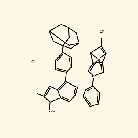 CC1=C2c3cn(-c4ccccc4)cc3C1[Si]2(C)C.CC1=Cc2c(-c3ccc(C45CC6CC(CC(C6)C4)C5)cc3)cccc2[CH]1[Zr+2].[Cl-].[Cl-]